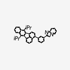 CC(C)c1c2c(c(C(C)C)c3ccccc13)-c1ccc(-c3cccc(-c4cn5ccccc5n4)c3)c3cccc-2c13